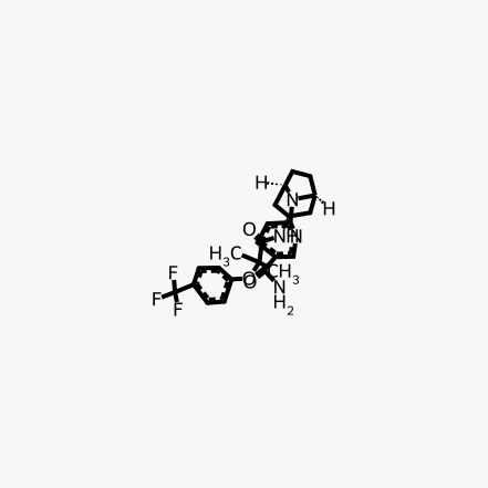 CC(C)(Oc1ccc(C(F)(F)F)cc1)C(=O)N[C@H]1C[C@H]2CC[C@@H](C1)N2c1ccc(C(N)=O)cn1